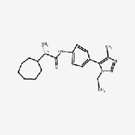 CCn1nnc(C)c1-c1ccc(NC(=O)[C@@H](N)C2CCCCCC2)nc1